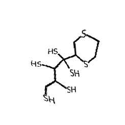 SCC(S)C(S)C(S)(S)C1CSCCS1